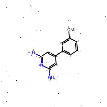 COc1cccc(-c2cc(N)nc(N)c2)c1